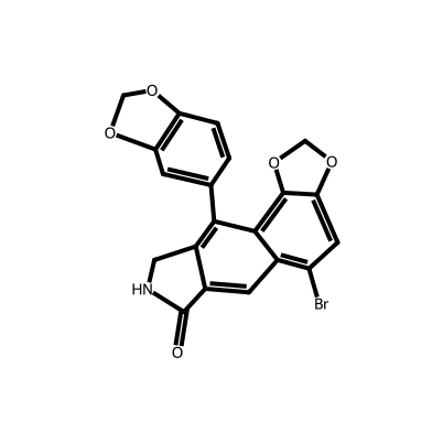 O=C1NCc2c1cc1c(Br)cc3c(c1c2-c1ccc2c(c1)OCO2)OCO3